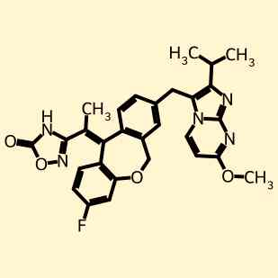 COc1ccn2c(Cc3ccc4c(c3)COc3cc(F)ccc3C4=C(C)c3noc(=O)[nH]3)c(C(C)C)nc2n1